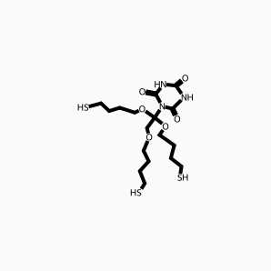 O=c1[nH]c(=O)n(C(COCCCCS)(OCCCCS)OCCCCS)c(=O)[nH]1